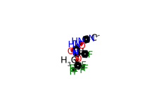 [C-]#[N+]c1ccc(NC(=O)NC2CC(=O)N3C[C@H](O[C@H](C)c4cc(C(F)(F)F)cc(C(F)(F)F)c4)[C@@H](c4ccc(F)cc4)[C@@H]3C2)cc1